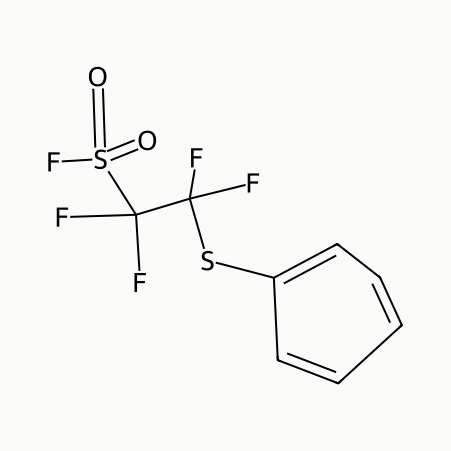 O=S(=O)(F)C(F)(F)C(F)(F)Sc1ccccc1